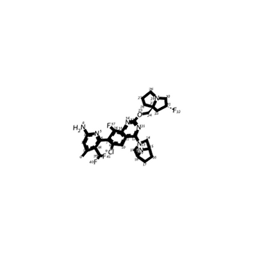 Cc1cc(N)nc(-c2c(Cl)cc3c(N4CC5CCC(C4)N5)nc(OC[C@@]45CCCN4C[C@H](F)C5)nc3c2F)c1C(F)F